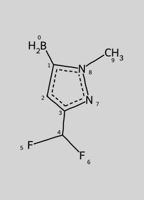 Bc1cc(C(F)F)nn1C